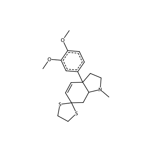 COc1ccc(C23C=CC4(CC2N(C)CC3)SCCS4)cc1OC